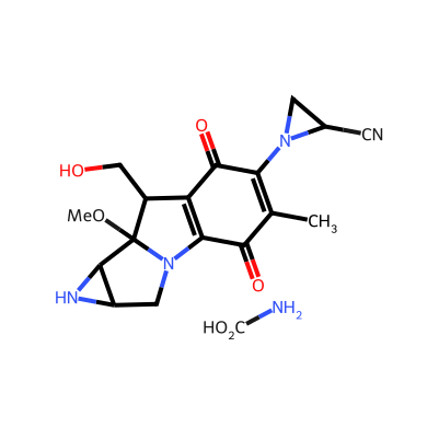 COC12C(CO)C3=C(C(=O)C(C)=C(N4CC4C#N)C3=O)N1CC1NC12.NC(=O)O